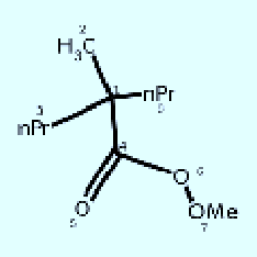 CCCC(C)(CCC)C(=O)OOC